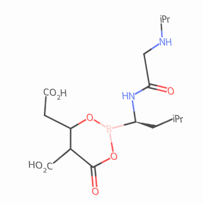 CC(C)C[C@H](NC(=O)CNC(C)C)B1OC(=O)C(C(=O)O)C(CC(=O)O)O1